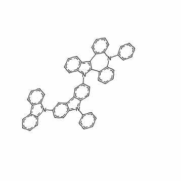 c1ccc(N2c3ccccc3-c3c(n(-c4ccc5c(c4)c4cc(-n6c7ccccc7c7ccccc76)ccc4n5-c4ccccc4)c4ccccc34)-c3ccccc32)cc1